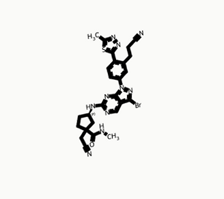 CNC(=O)C1(CC#N)CC[C@@H](Nc2ncc3c(Br)nn(-c4ccc(-c5nnc(C)s5)c(CCC#N)c4)c3n2)C1